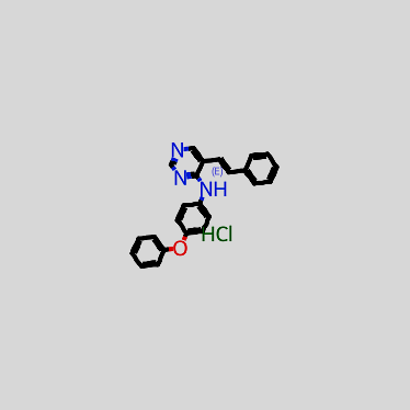 C(=C\c1cncnc1Nc1ccc(Oc2ccccc2)cc1)/c1ccccc1.Cl